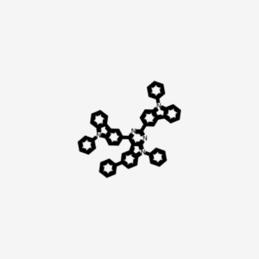 c1ccc(-c2ccc3c(c2)c2c(-c4ccc5c(c4)c4ccccc4n5-c4ccccc4)nc(-c4ccc5c(c4)c4ccccc4n5-c4ccccc4)nc2n3-c2ccccc2)cc1